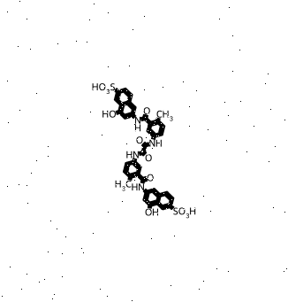 Cc1ccc(NC(=O)C(=O)Nc2ccc(C)c(C(=O)Nc3cc(O)c4cc(S(=O)(=O)O)ccc4c3)c2)cc1C(=O)Nc1cc(O)c2cc(S(=O)(=O)O)ccc2c1